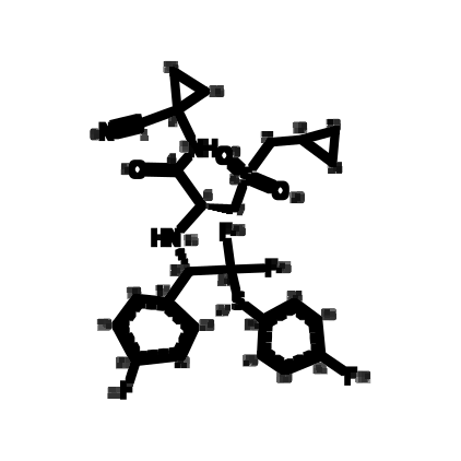 N#CC1(NC(=O)[C@H](CS(=O)(=O)CC2CC2)N[C@@H](c2ccc(F)cc2)C(F)(F)Sc2ccc(F)cc2)CC1